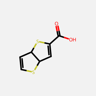 O=C(O)C1=CC2SC=CC2S1